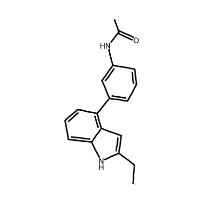 [CH2]Cc1cc2c(-c3cccc(NC(C)=O)c3)cccc2[nH]1